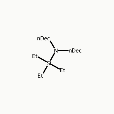 CCCCCCCCCCN(CCCCCCCCCC)[Si](CC)(CC)CC